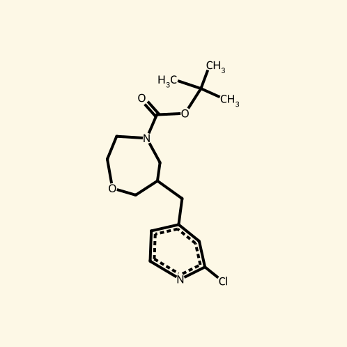 CC(C)(C)OC(=O)N1CCOCC(Cc2ccnc(Cl)c2)C1